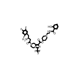 N[C@@H](CC(=O)N1CCn2c(C(F)(F)F)nc(C(=O)OC3CCN(CCNC(=O)c4ccccc4O)CC3)c2C1)Cc1cc(F)c(F)cc1F